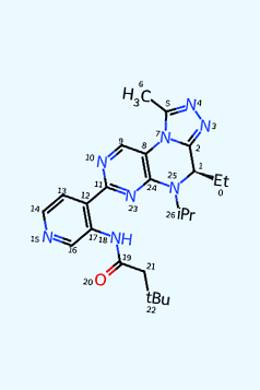 CC[C@@H]1c2nnc(C)n2-c2cnc(-c3ccncc3NC(=O)CC(C)(C)C)nc2N1C(C)C